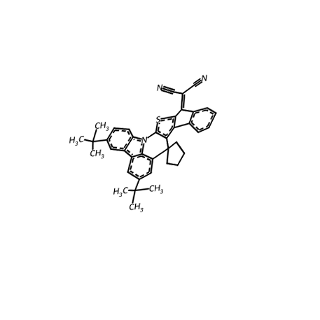 CC(C)(C)c1ccc2c(c1)c1cc(C(C)(C)C)cc3c1n2-c1sc2c(c1C31CCCC1)-c1ccccc1C2=C(C#N)C#N